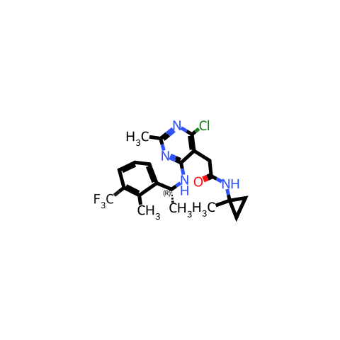 Cc1nc(Cl)c(CC(=O)NC2(C)CC2)c(N[C@H](C)c2cccc(C(F)(F)F)c2C)n1